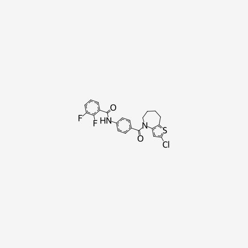 O=C(Nc1ccc(C(=O)N2CCCCc3sc(Cl)cc32)cc1)c1cccc(F)c1F